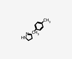 C1=NNCC1.Cc1ccc(C)cc1